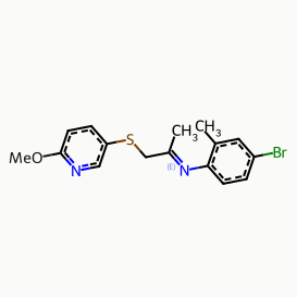 COc1ccc(SC/C(C)=N/c2ccc(Br)cc2C)cn1